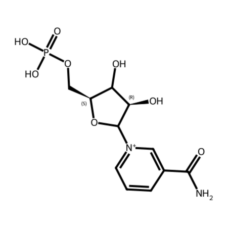 NC(=O)c1ccc[n+](C2O[C@@H](COP(=O)(O)O)C(O)[C@H]2O)c1